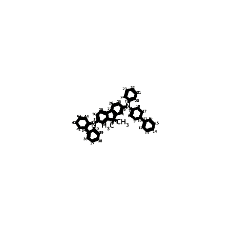 CC1(C)c2cc(N(C3=CCC(c4ccccc4)CC3)c3ccccc3)ccc2-c2ccc(-n3c4c(c5ccccc53)CCC=C4)cc21